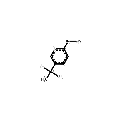 CCCNc1ccc(C(C)(C)CC)cn1